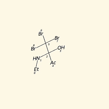 CCNC(O)(C(C)=O)C(Br)(Br)Br